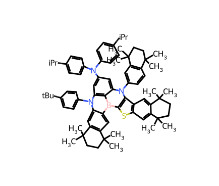 CC(C)c1ccc(N(c2ccc(C(C)C)cc2)c2cc3c4c(c2)N(c2ccc5c(c2)C(C)(C)CCC5(C)C)c2c(sc5cc6c(cc25)C(C)(C)CCC6(C)C)B4c2cc4c(cc2N3c2ccc(C(C)(C)C)cc2)C(C)(C)CCC4(C)C)cc1